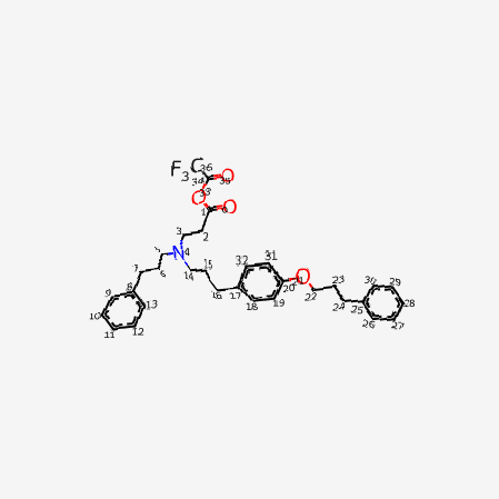 O=C(CCN(CCCc1ccccc1)CCCc1ccc(OCCCc2ccccc2)cc1)OC(=O)C(F)(F)F